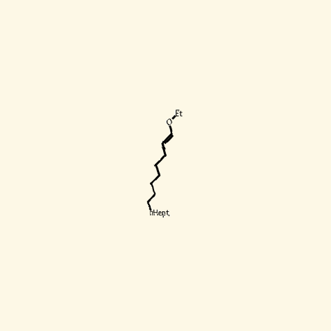 CCCCCCCCCCCCCC=COCC